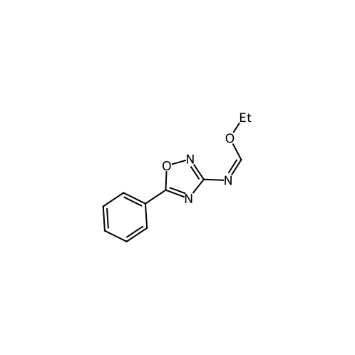 CCO/C=N\c1noc(-c2ccccc2)n1